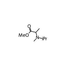 COC(=O)C(C)N(C)C(C)C